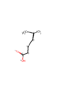 CC(C)CC[CH]C(=O)O